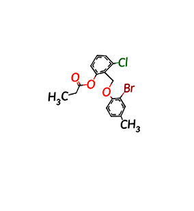 CCC(=O)Oc1cccc(Cl)c1COc1ccc(C)cc1Br